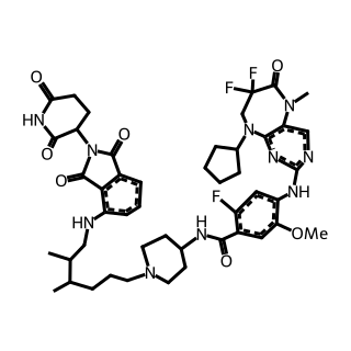 COc1cc(C(=O)NC2CCN(CCCC(C)C(C)CNc3cccc4c3C(=O)N(C3CCC(=O)NC3=O)C4=O)CC2)c(F)cc1Nc1ncc2c(n1)N(C1CCCC1)CC(F)(F)C(=O)N2C